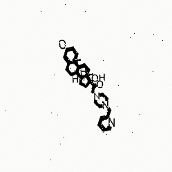 C[C@]12CCC(=O)C=C1CC[C@@H]1C2=CC[C@@]2(C)[C@H]1CC[C@]2(O)C(=O)CN1CCN(Cc2ccccn2)CC1